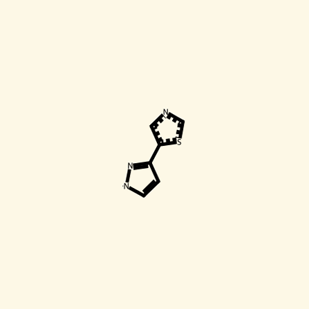 C1=CC(c2cncs2)=N[N]1